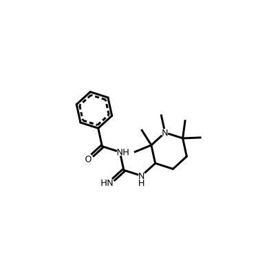 CN1C(C)(C)CCC(NC(=N)NC(=O)c2ccccc2)C1(C)C